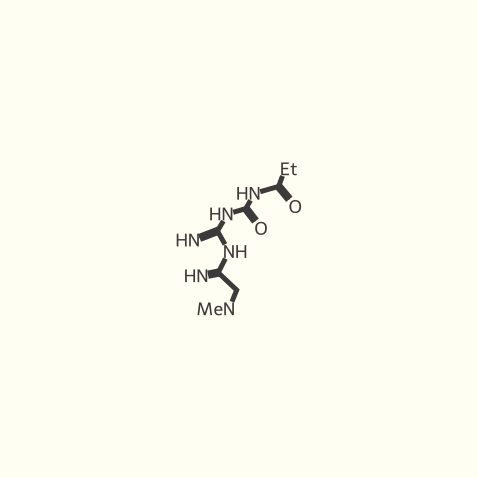 CCC(=O)NC(=O)NC(=N)NC(=N)CNC